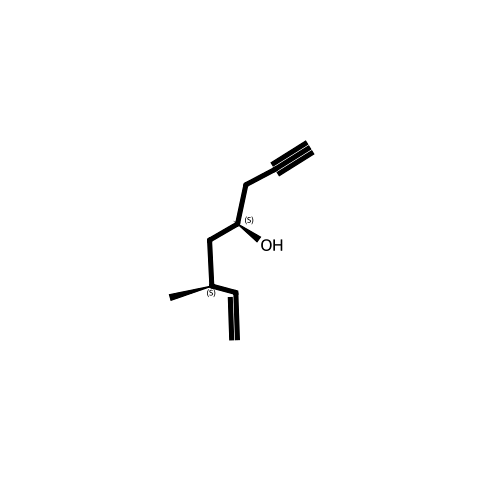 C#CC[C@@H](O)C[C@H](C)C=C